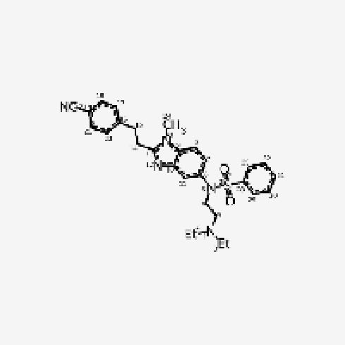 CCN(CC)CCN(c1ccc2c(c1)nc(CCc1ccc(C#N)cc1)n2C)S(=O)(=O)c1ccccc1